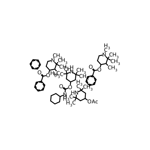 CC(=O)OC1CC(C)(C)NC(C)(C)C1.CC1(C)CC(OC(=O)NC2CCCCC2)CC(C)(C)N1.CC1C(OC(=O)c2ccccc2)CCN(C)C1(C)C.CC1C(OC(=O)c2ccccc2)CCN(C)C1(C)C.c1ccccc1